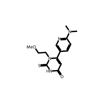 COCCn1c(-c2ccc(N(C)C)nc2)cc(=O)[nH]c1=S